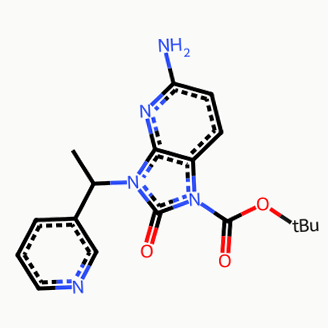 CC(c1cccnc1)n1c(=O)n(C(=O)OC(C)(C)C)c2ccc(N)nc21